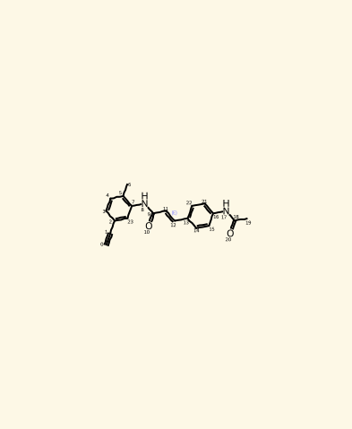 C#Cc1ccc(C)c(NC(=O)/C=C/c2ccc(NC(C)=O)cc2)c1